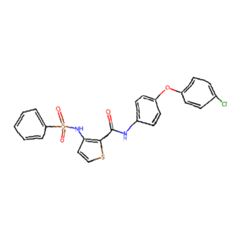 O=C(Nc1ccc(Oc2ccc(Cl)cc2)cc1)c1sccc1NS(=O)(=O)c1ccccc1